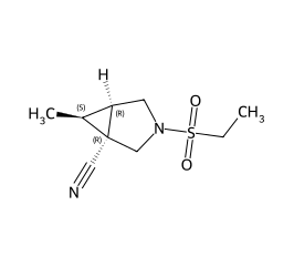 CCS(=O)(=O)N1C[C@@H]2[C@H](C)[C@]2(C#N)C1